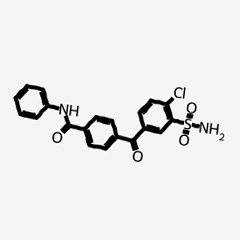 NS(=O)(=O)c1cc(C(=O)c2ccc(C(=O)Nc3ccccc3)cc2)ccc1Cl